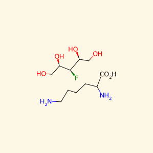 NCCCCC(N)C(=O)O.OC[C@@H](O)[C@H](F)[C@@H](O)CO